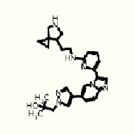 CC(C)(O)Cn1cc(-c2ccc3ncc(-c4cccc(NCCC5CNCC56CC6)n4)n3c2)cn1